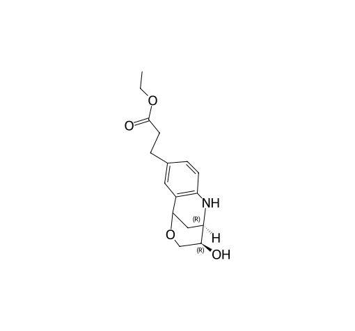 CCOC(=O)CCc1ccc2c(c1)C1C[C@@H](N2)[C@@H](O)CO1